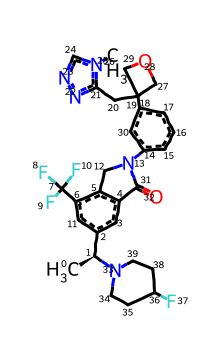 C[C@@H](c1cc2c(c(C(F)(F)F)c1)CN(c1cccc(C3(Cc4nncn4C)COC3)c1)C2=O)N1CCC(F)CC1